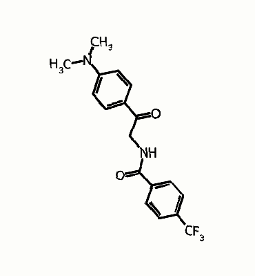 CN(C)c1ccc(C(=O)CNC(=O)c2ccc(C(F)(F)F)cc2)cc1